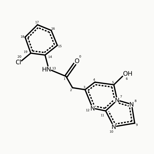 O=C(Cc1cc(O)n2ncnc2n1)Nc1ccccc1Cl